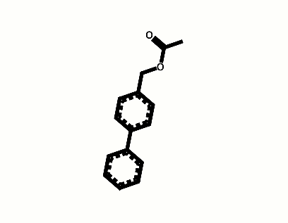 CC(=O)OCc1ccc(-c2cc[c]cc2)cc1